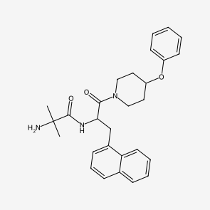 CC(C)(N)C(=O)NC(Cc1cccc2ccccc12)C(=O)N1CCC(Oc2ccccc2)CC1